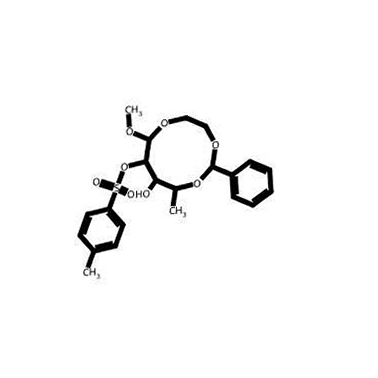 COC1OCCOC(c2ccccc2)OC(C)C(O)C1OS(=O)(=O)c1ccc(C)cc1